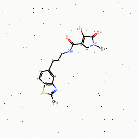 Cc1nc2cc(CCCNC(=O)C3=C(O)C(=O)N(C)C3)ccc2s1